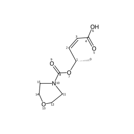 C[C@@H](/C=C\C(=O)O)OC(=O)N1CCOCC1